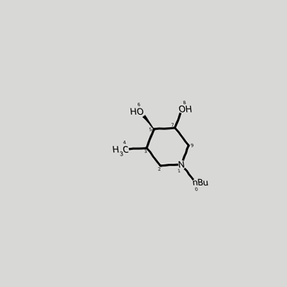 CCCCN1CC(C)[C@@H](O)C(O)C1